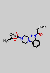 C=C(C)OC(=O)N1CCN(c2ccccc2NC(=O)COC)CC1